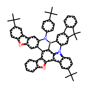 CC(C)(C)c1ccc(N2B3c4cc5c(cc4-n4c6ccc(C(C)(C)C)cc6c6c7oc8ccccc8c7c(c3c64)-c3cc4oc6ccc(C(C)(C)C)cc6c4cc32)C(C)(C)c2ccccc2-5)cc1